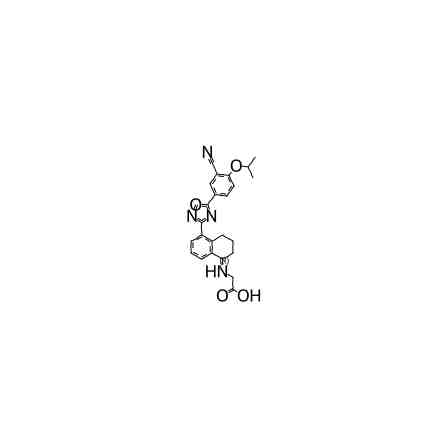 CC(C)Oc1ccc(-c2nc(-c3cccc4c3CCC[C@H]4NCC(=O)O)no2)cc1C#N